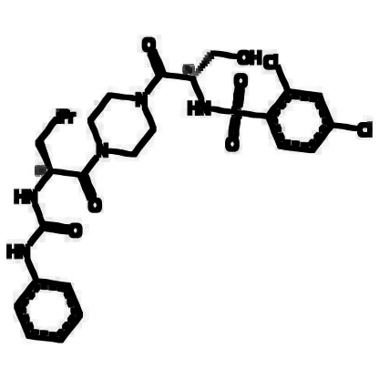 CC(C)C[C@H](NC(=O)Nc1ccccc1)C(=O)N1CCN(C(=O)[C@H](CO)NS(=O)(=O)c2ccc(Cl)cc2Cl)CC1